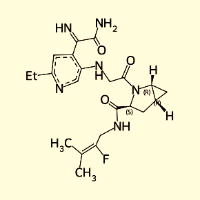 CCc1cc(C(=N)C(N)=O)c(NCC(=O)N2[C@@H]3C[C@@H]3C[C@H]2C(=O)NCC(F)=C(C)C)cn1